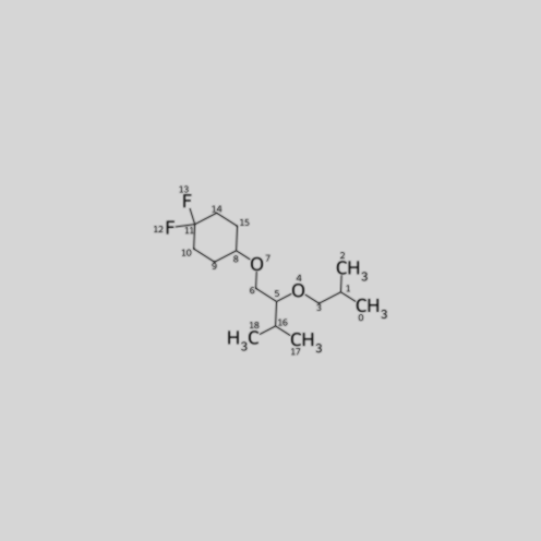 CC(C)COC(COC1CCC(F)(F)CC1)C(C)C